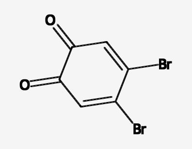 O=C1C=C(Br)C(Br)=CC1=O